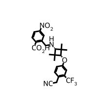 CC1(C)[C@H](NCc2cc([N+](=O)[O-])ccc2C(=O)O)C(C)(C)[C@H]1Oc1ccc(CC#N)c(C(F)(F)F)c1